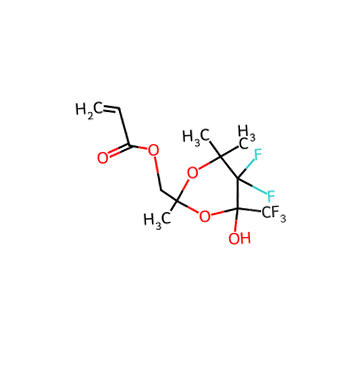 C=CC(=O)OCC1(C)OC(C)(C)C(F)(F)C(O)(C(F)(F)F)O1